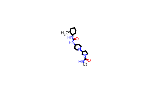 CCNC(=O)N1CCC(N2CCC(NC(=O)N[C@@H]3CCCC[C@@H]3C)CC2)C1